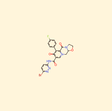 O=C(Nc1ccc(Br)nn1)c1cn2c(c(-c3ccc(F)cc3)c1=O)C(=O)N1CCOC1C2